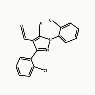 O=Cc1c(-c2ccccc2Cl)nn(-c2ccccc2Cl)c1Br